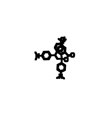 CN(C)c1ccc(C(CC2(c3ccc(N(C)C)cc3)OC(=O)c3cc(N(C)C)ccc32)c2ccc(Cl)cc2)cc1